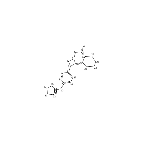 CN(CC1CC(c2ccc(CN3CCCC3)cc2)C1)C1CCCCC1